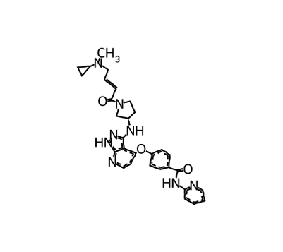 CN(C/C=C/C(=O)N1CC[C@@H](Nc2n[nH]c3nccc(Oc4ccc(C(=O)Nc5ccccn5)cc4)c23)C1)C1CC1